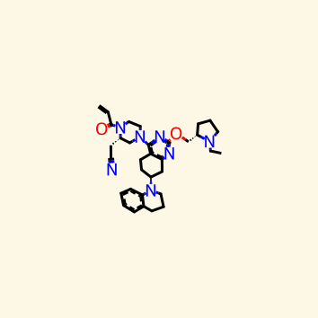 C=CC(=O)N1CCN(c2nc(OC[C@@H]3CCCN3CC)nc3c2CC[C@H](N2CCCc4ccccc42)C3)C[C@@H]1CC#N